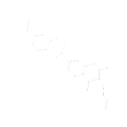 C=CCOc1c(F)cc2cc(C3CCC4CC(CCC)CCC4C3)ccc2c1F